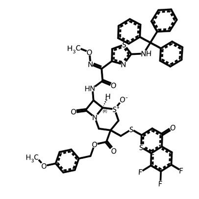 CON=C(C(=O)NC1C(=O)N2CC(CSc3cc(=O)c4cc(F)c(F)c(F)c4s3)(C(=O)OCc3ccc(OC)cc3)C[S+]([O-])[C@H]12)c1csc(NC(c2ccccc2)(c2ccccc2)c2ccccc2)n1